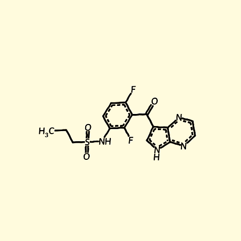 CCCS(=O)(=O)Nc1ccc(F)c(C(=O)c2c[nH]c3nccnc23)c1F